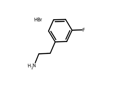 Br.NCCc1cccc(F)c1